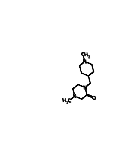 CN1CCC(CN2CCN(C)CC2=O)CC1